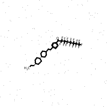 CCC[C@H]1CC[C@H](C2CCC(CCc3ccc(C(=O)C(F)(F)C(F)(F)C(F)(F)C(F)(F)C(F)(F)C(F)(F)C(F)(F)F)cc3)CC2)CC1